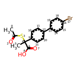 CC(=O)SC(C)(C(=O)O)c1ccc(-c2ccc(Br)cc2)cc1